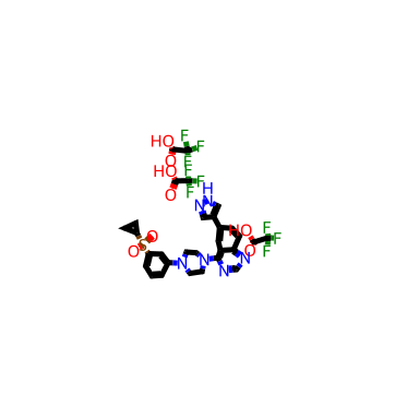 O=C(O)C(F)(F)F.O=C(O)C(F)(F)F.O=C(O)C(F)(F)F.O=S(=O)(c1cccc(N2CCN(c3ncnc4ccc(-c5cn[nH]c5)cc34)CC2)c1)C1CC1